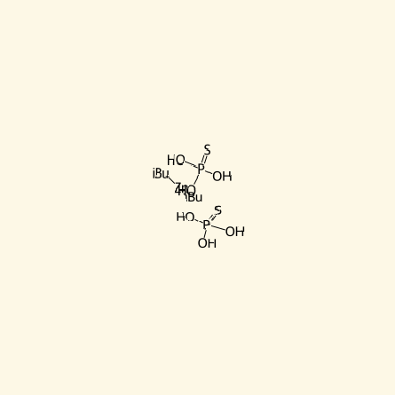 CC[CH](C)[Zn][CH](C)CC.OP(O)(O)=S.OP(O)(O)=S